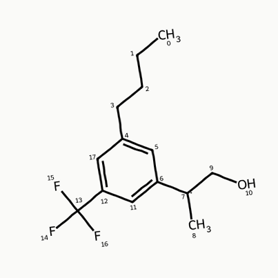 CCCCc1cc([C](C)CO)cc(C(F)(F)F)c1